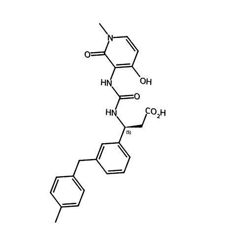 Cc1ccc(Cc2cccc([C@H](CC(=O)O)NC(=O)Nc3c(O)ccn(C)c3=O)c2)cc1